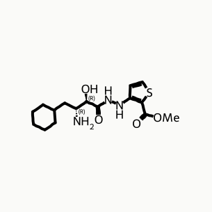 COC(=O)c1sccc1NNC(=O)[C@H](O)[C@H](N)CC1CCCCC1